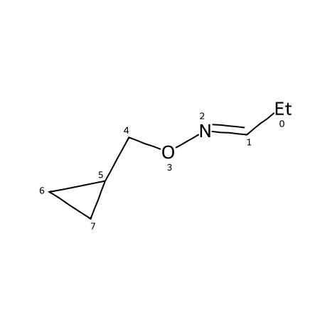 CCC=NOCC1CC1